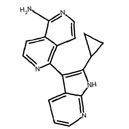 Nc1nccc2c(-c3c(C4CC4)[nH]c4ncccc34)nccc12